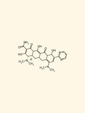 CN(C)C1=C2CC3C[C@@H]4C(C(=O)C(C(N)=O)=C(O)[C@H]4N(C)C)C(O)=C3C(=O)C2C(O)C(c2ncccn2)=C1